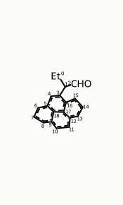 CCC(C=O)c1cc2cccc3ccc4cccc1c4c32